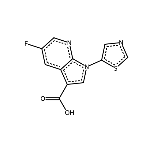 O=C(O)c1cn(-c2cncs2)c2ncc(F)cc12